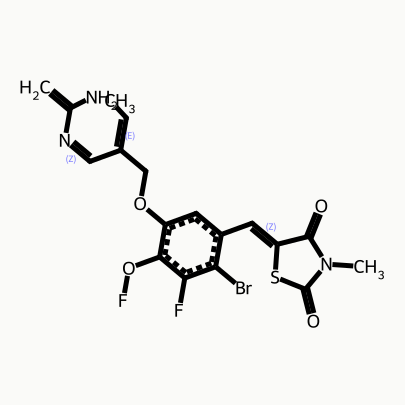 C=C(N)/N=C\C(=C/C)COc1cc(/C=C2\SC(=O)N(C)C2=O)c(Br)c(F)c1OF